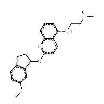 COc1ccc2c(c1)C(Nc1ccc3c(NCC[S+](C)[O-])cccc3n1)CC2